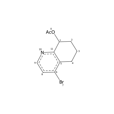 CC(=O)OC1CCCc2c(Br)ccnc21